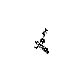 CC(C)CN(CC(C)C)C(=O)[C@H](Cc1ccc(OCc2csc(C(C)C)n2)cc1)NS(=O)(=O)c1ccc2ccoc2c1